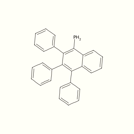 Pc1c(-c2ccccc2)c(-c2ccccc2)c(-c2ccccc2)c2ccccc12